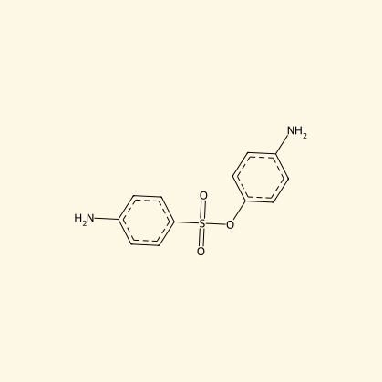 Nc1ccc(OS(=O)(=O)c2ccc(N)cc2)cc1